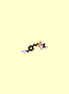 CCC1(CC)CN1S(=O)(=O)CC=Cc1ccc(CN)cc1